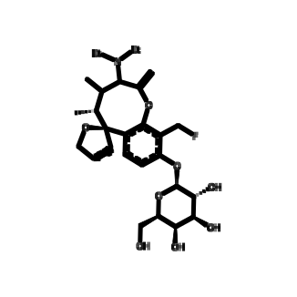 C=C1Oc2c(ccc(O[C@@H]3O[C@H](CO)[C@H](O)[C@H](O)[C@H]3O)c2CF)[C@@]2(OCc3ccccc32)[C@H](C)C(C)C1N(CC)CC